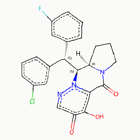 O=C1c2c(O)c(=O)cnn2[C@@H]([C@@H](c2cccc(F)c2)c2cccc(Cl)c2)[C@H]2CCCN12